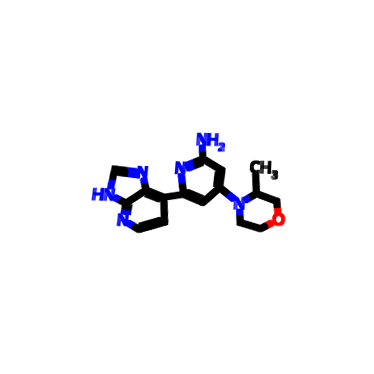 CC1COCCN1c1cc(N)nc(-c2ccnc3[nH]cnc23)c1